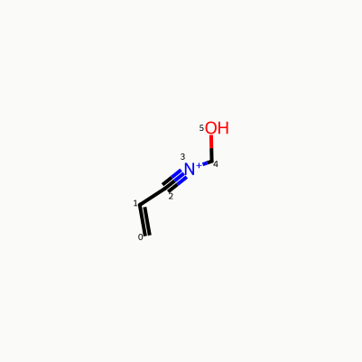 C=CC#[N+]CO